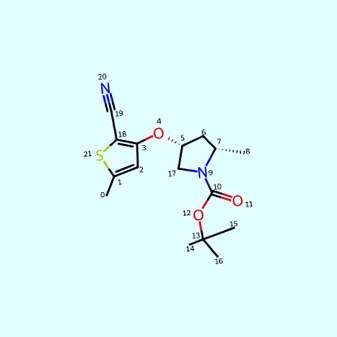 Cc1cc(O[C@@H]2C[C@H](C)N(C(=O)OC(C)(C)C)C2)c(C#N)s1